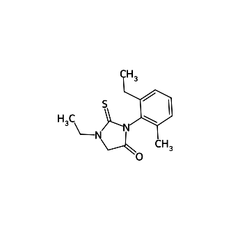 CCc1cccc(C)c1N1C(=O)CN(CC)C1=S